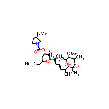 CNC1CCN(C(=O)O[C@@H]2C[C@H](CC(=O)O)O[C@H](/C(C)=C/C=C/C(C)C[C@@]3(C)O[C@@H]3C(C)C(OC)C(C)O)[C@H]2C)C1